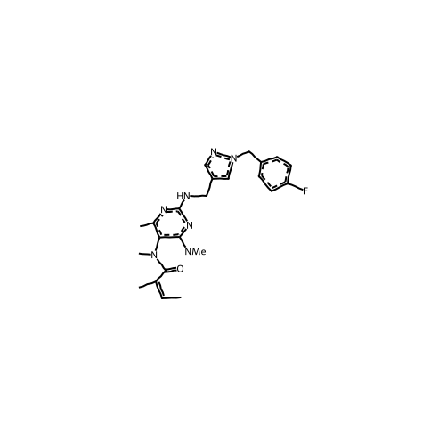 C/C=C(/C)C(=O)N(C)c1c(C)nc(NCc2cnn(Cc3ccc(F)cc3)c2)nc1NC